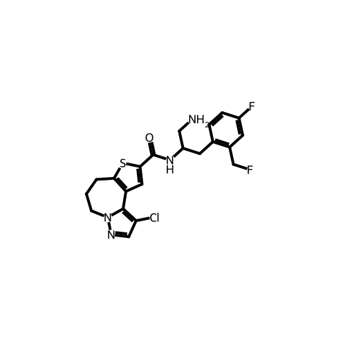 NCC(Cc1ccc(F)cc1CF)NC(=O)c1cc2c(s1)CCCn1ncc(Cl)c1-2